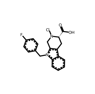 O=C(O)[C@@H]1Cc2c(n(Cc3ccc(F)cc3)c3ccccc23)CN1Cl